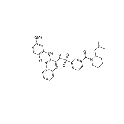 COc1ccc(Cl)c(Nc2nc3ccccc3nc2NS(=O)(=O)c2cccc(C(=O)N3CCCCC3CN(C)C)c2)c1